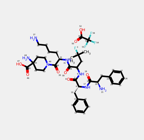 CC(C)(F)CC(NC(=O)[C@@H](Cc1ccccc1)NC(=O)[C@H](N)Cc1ccccc1)C(=O)N[C@H](CCCCN)C(=O)N1CCC(N)(C(=O)O)CC1.O=C(O)C(F)(F)F